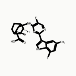 Cc1cc(F)c2[nH]cc(-c3ncc(F)c(N[C@@H]4C5CCC(CC5)[C@H]4C(=O)O)n3)c2c1